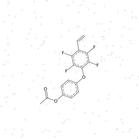 C=Cc1c(F)c(F)c(Oc2ccc(OC(C)=O)cc2)c(F)c1F